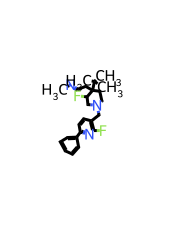 C/N=C/CC1(C(C)(C)C)CCN(Cc2ccc(-c3ccccc3)nc2F)CC1F